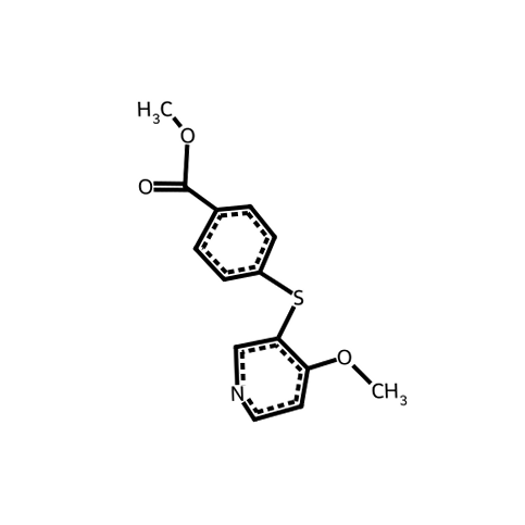 COC(=O)c1ccc(Sc2cnccc2OC)cc1